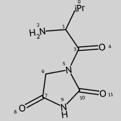 CC(C)C(N)C(=O)N1CC(=O)NC1=O